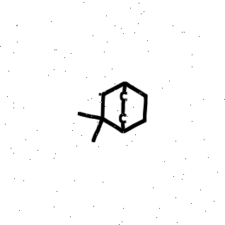 CC1(C)[CH]C2CCC1CC2